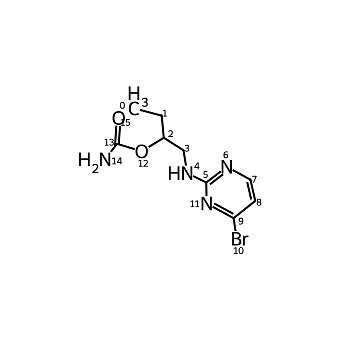 CCC(CNc1nccc(Br)n1)OC(N)=O